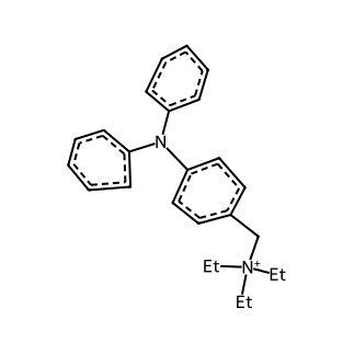 CC[N+](CC)(CC)Cc1ccc(N(c2ccccc2)c2ccccc2)cc1